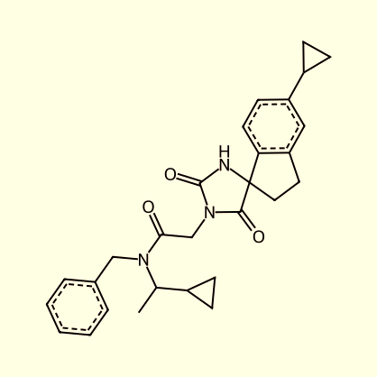 CC(C1CC1)N(Cc1ccccc1)C(=O)CN1C(=O)NC2(CCc3cc(C4CC4)ccc32)C1=O